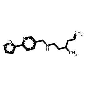 C=CCC(C)CCNCc1ccc(-c2ccco2)nc1